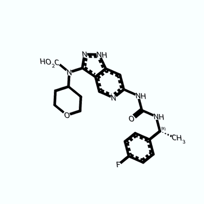 C[C@@H](NC(=O)Nc1cc2[nH]nc(N(C(=O)O)C3CCOCC3)c2cn1)c1ccc(F)cc1